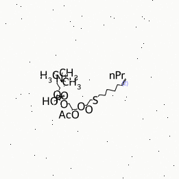 CCC/C=C\CCCCCSCC(=O)OCC(COP(=O)(O)OCC[N+](C)(C)C)OC(C)=O